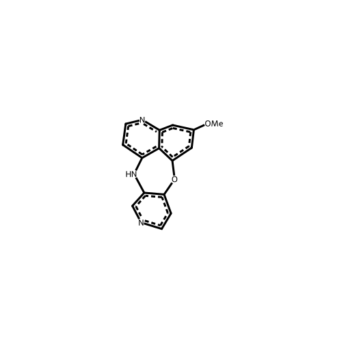 COc1cc2c3c(ccnc3c1)Nc1cnccc1O2